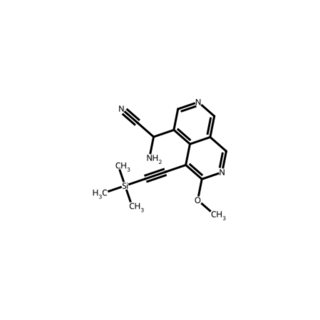 COc1ncc2cncc(C(N)C#N)c2c1C#C[Si](C)(C)C